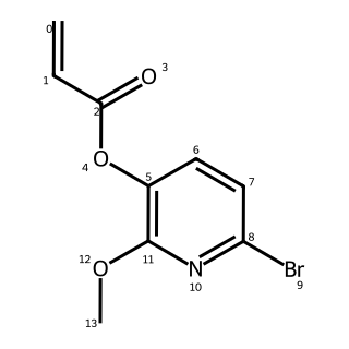 C=CC(=O)Oc1ccc(Br)nc1OC